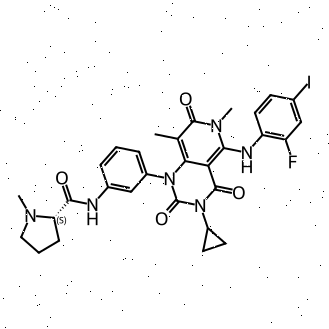 Cc1c(=O)n(C)c(Nc2ccc(I)cc2F)c2c(=O)n(C3CC3)c(=O)n(-c3cccc(NC(=O)[C@@H]4CCCN4C)c3)c12